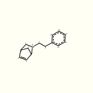 C1=CC2CC1CN2CCc1ccccc1